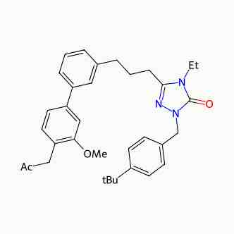 CCn1c(CCCc2cccc(-c3ccc(CC(C)=O)c(OC)c3)c2)nn(Cc2ccc(C(C)(C)C)cc2)c1=O